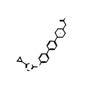 COC(=O)CC12CCC(c3ccc(-c4ccc(Nc5nnc(C6CC6)o5)cc4)cc3)(CC1)CO2